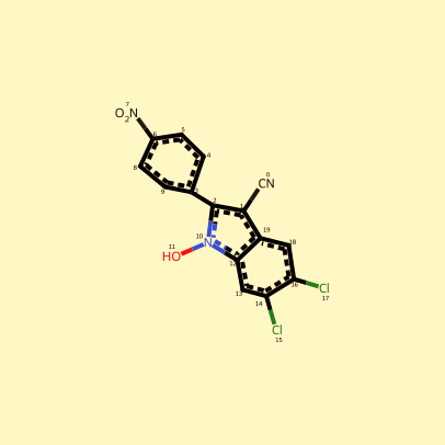 N#Cc1c(-c2ccc([N+](=O)[O-])cc2)n(O)c2cc(Cl)c(Cl)cc12